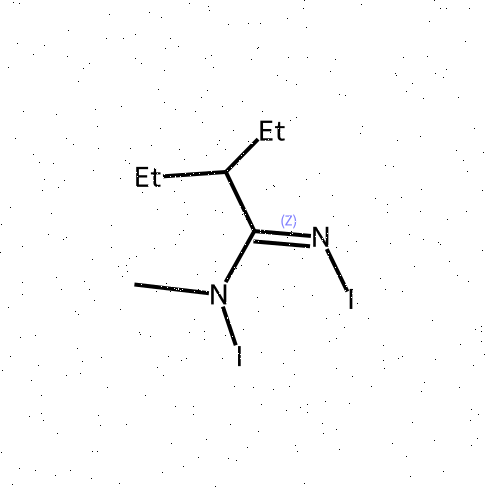 CCC(CC)/C(=N/I)N(C)I